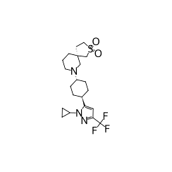 O=S1(=O)CC[C@]2(CCCN([C@H]3CC[C@H](c4cc(C(F)(F)F)nn4C4CC4)CC3)C2)C1